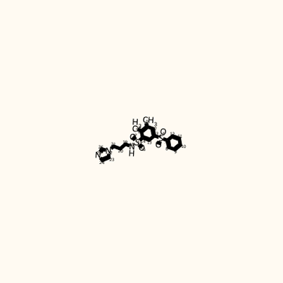 Cc1cc(S(=O)(=O)c2ccccc2)cc(S(=O)(=O)NCCCn2ccnc2)c1C